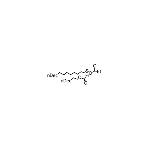 CCCCCCCCCCCCCCCCCCSOC(=O)CC.CCCCCCCCCCCCOC(=O)CC